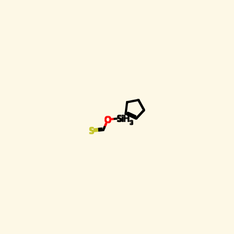 C1=CCCC1.[SiH3]OC=S